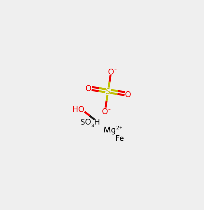 O=S(=O)(O)O.O=S(=O)([O-])[O-].[Fe].[Mg+2]